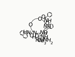 CCC(NC(=N)N)C1NC(=O)C(Cc2ccccc2)NC(=O)C(NC(=O)c2ccccc2)COCCCCOCCC(C(=O)Nc2cccc3ccccc23)NC1=O